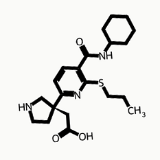 CCCSc1nc([C@]2(CC(=O)O)CCNC2)ccc1C(=O)NC1CCCCC1